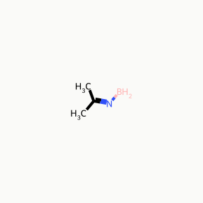 BN=C(C)C